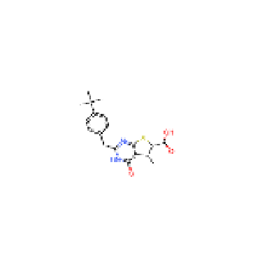 CC1c2c(nc(Cc3ccc(C(C)(C)C)cc3)[nH]c2=O)SC1C(=O)O